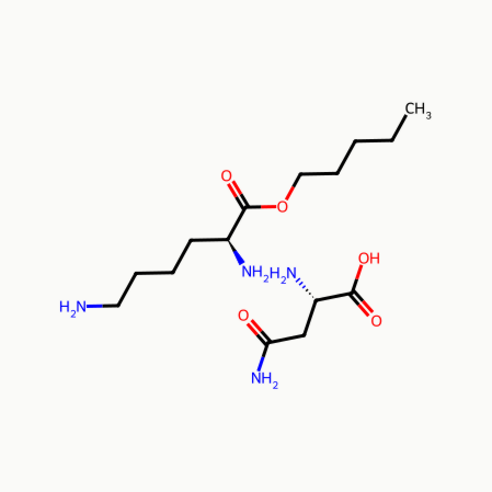 CCCCCOC(=O)[C@@H](N)CCCCN.NC(=O)C[C@H](N)C(=O)O